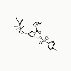 Cc1ccc(S(=O)(=O)OC[C@@H]2C[C@@H](O[Si](C)(C)C(C)(C)C)CN2C(=O)O)cc1